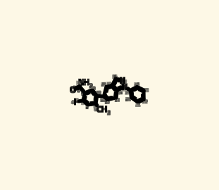 Cc1cc(F)c(C(N)=O)cc1-c1ccc2c(cnn2-c2ccccc2)c1